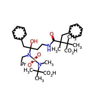 CC(C)CN(C(O)(CCNC(=O)C(C)(Cc1ccccc1)C(C)(C)C(=O)O)Cc1ccccc1)S(=O)(=O)N(C)C(C)(C)C(=O)O